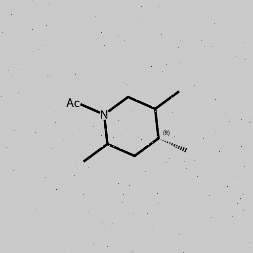 CC(=O)N1CC(C)[C@H](C)CC1C